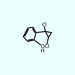 Oc1ccccc1C1(Cl)CC1Cl